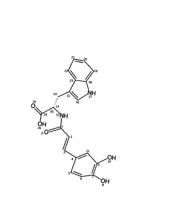 O=C(C=Cc1ccc(O)c(O)c1)N[C@@H](Cc1c[nH]c2ccccc12)C(=O)O